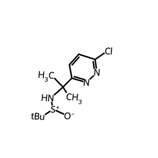 CC(C)(N[S+]([O-])C(C)(C)C)c1ccc(Cl)nn1